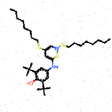 CCCCCCCCSC1=CN(SCCCCCCCC)SC(Nc2cc(C(C)(C)C)c(O)c(C(C)(C)C)c2)=C1